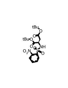 CC(C)(C)OC(=O)C[C@@H](NS(=O)(=O)c1ccccc1[N+](=O)[O-])C(=O)OC(C)(C)C